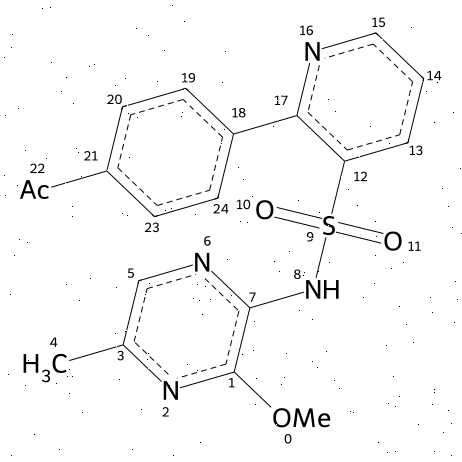 COc1nc(C)cnc1NS(=O)(=O)c1cccnc1-c1ccc(C(C)=O)cc1